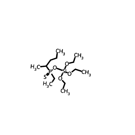 CCCC(C)P(=S)(CC)O[Si](OCC)(OCC)OCC